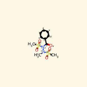 CN(N(C(=O)c1ccccc1)S(C)(=O)=O)S(C)(=O)=O